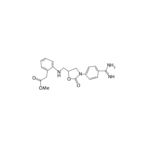 COC(=O)Cc1ccccc1NCC1CN(c2ccc(C(=N)N)cc2)C(=O)O1